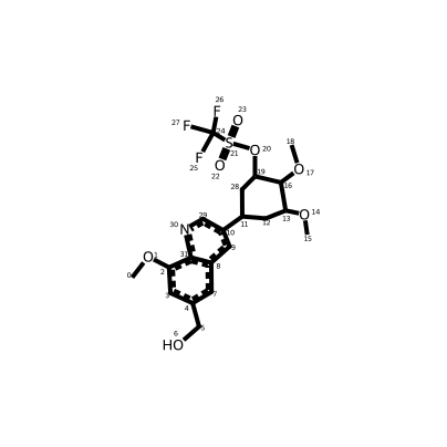 COc1cc(CO)cc2cc(C3CC(OC)C(OC)C(OS(=O)(=O)C(F)(F)F)C3)cnc12